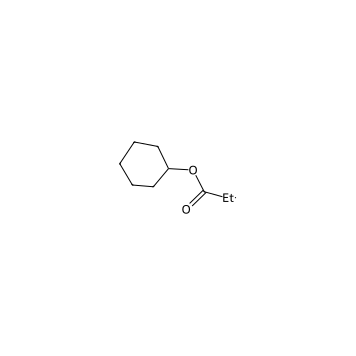 C[CH]C(=O)OC1CCCCC1